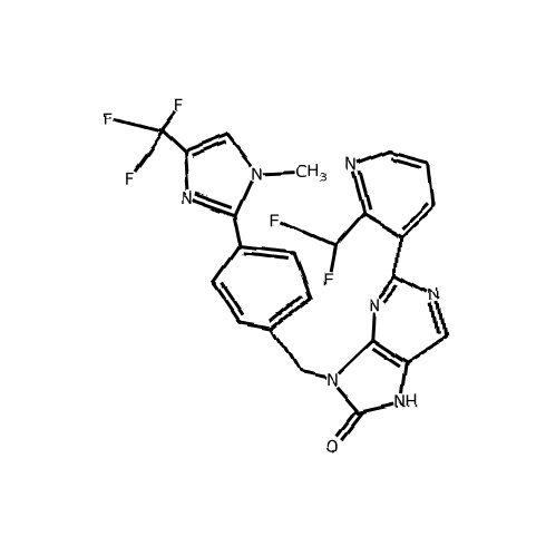 Cn1cc(C(F)(F)F)nc1-c1ccc(Cn2c(=O)[nH]c3cnc(-c4cccnc4C(F)F)nc32)cc1